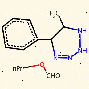 CCCOC=O.FC(F)(F)C1NNN=NC1c1ccccc1